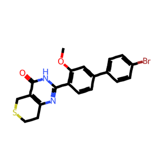 COc1cc(-c2ccc(Br)cc2)ccc1-c1nc2c(c(=O)[nH]1)CSCC2